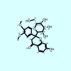 COc1ccc(C2(C3O[C@H](CO)[C@@H](O)[C@H](O)[C@H]3O)CC(=O)c3ccc(O)cc3O2)cc1OC